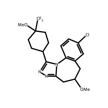 COC1Cc2cc(Cl)ccc2-n2c(nnc2C2CCC(OC)(C(F)(F)F)CC2)C1